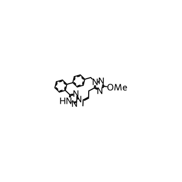 CC=CCc1nc(OC)nn1Cc1ccc(-c2ccccc2-c2nnn[nH]2)cc1